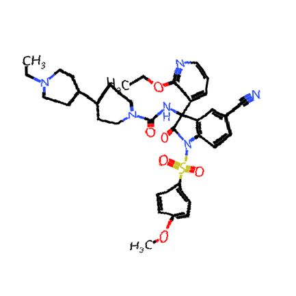 CCOc1ncccc1C1(NC(=O)N2CCC(C3CCN(CC)CC3)CC2)C(=O)N(S(=O)(=O)c2ccc(OC)cc2)c2ccc(C#N)cc21